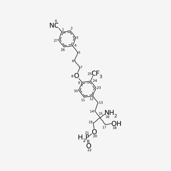 N#Cc1ccc(CCCOc2ccc(CCC(N)(CO)CO[PH2]=O)cc2C(F)(F)F)cc1